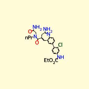 CCCN(CC(N)=O)C(=O)C1=Cc2cc(-c3ccc(NC(=O)OCC)cc3Cl)ccc2N=C(N)C1